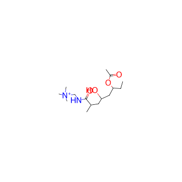 CCC(CC(O)CC(C)C(=O)NC[N+](C)(C)C)OC(C)=O